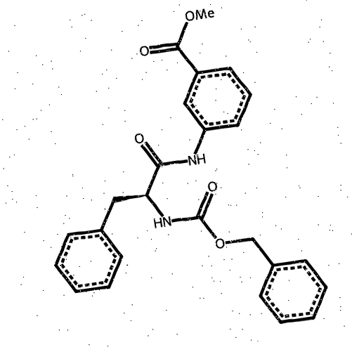 COC(=O)c1cccc(NC(=O)[C@H](Cc2ccccc2)NC(=O)OCc2ccccc2)c1